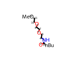 CCCCC(=O)NCCOCCOCCOC